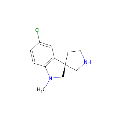 CN1C[C@]2(CCNC2)c2cc(Cl)ccc21